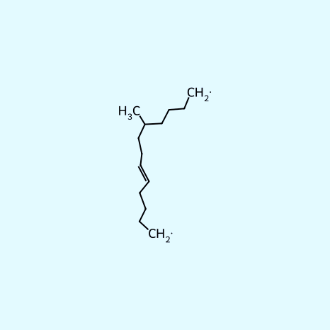 [CH2]CCCC=CCCC(C)CCC[CH2]